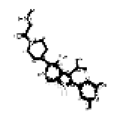 CNCC(=O)N1CCC(c2ncc3[nH]c(-c4cc(C)nc(C)c4)c(C(C)C)c3c2F)CC1